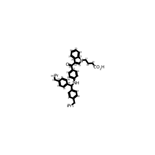 CC(C)Cc1ccc(C(Nc2ccc(C(=O)c3cn(CCCC(=O)O)c4ccccc34)cc2)c2ccc(CC(C)C)cc2)cc1